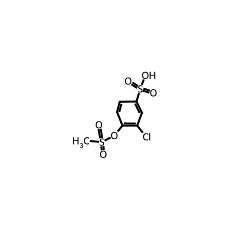 CS(=O)(=O)Oc1ccc(S(=O)(=O)O)cc1Cl